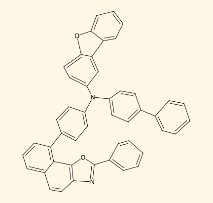 c1ccc(-c2ccc(N(c3ccc(-c4cccc5ccc6nc(-c7ccccc7)oc6c45)cc3)c3ccc4oc5ccccc5c4c3)cc2)cc1